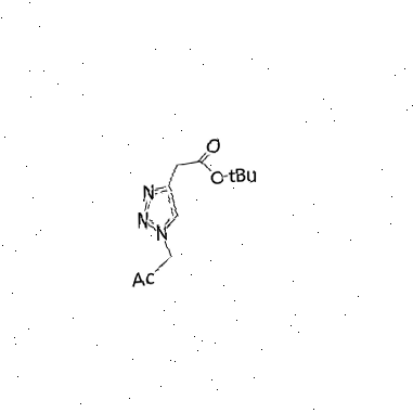 CC(=O)Cn1cc(CC(=O)OC(C)(C)C)nn1